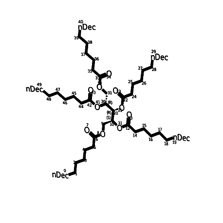 CCCCCCCCCCCCCCCC(=O)OC[C@H](OC(=O)CCCCCCCCCCCCCCC)[C@@H](OC(=O)CCCCCCCCCCCCCCC)[C@@H](COC(=O)CCCCCCCCCCCCCCC)OC(=O)CCCCCCCCCCCCCCC